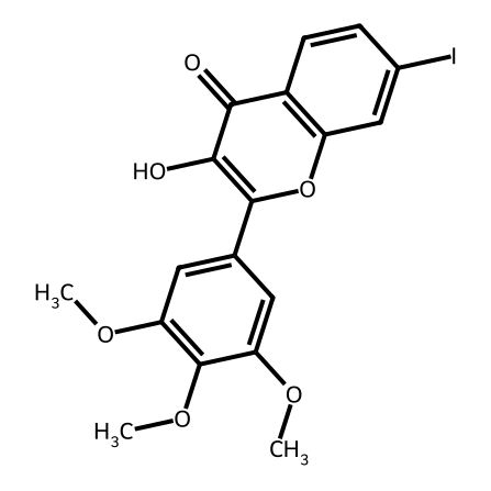 COc1cc(-c2oc3cc(I)ccc3c(=O)c2O)cc(OC)c1OC